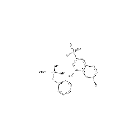 CCCCCCCC[N+](CCC)(CCC)Cc1ccccc1.O=S(=O)([O-])c1cc(O)c2cc(O)ccc2c1